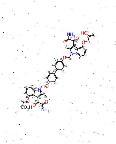 C=C(O)COc1cccc2c1c(C(=O)C(N)=O)c(C)n2COc1ccc(-c2ccc(OCn3c(C)c(C(=O)C(N)=O)c4c(OCC(=O)O)cccc43)cc2)cc1